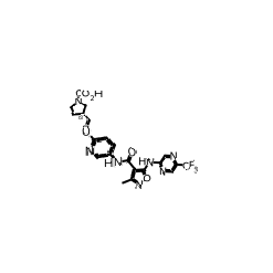 Cc1noc(Nc2cnc(C(F)(F)F)cn2)c1C(=O)Nc1ccc(OC[C@H]2CCN(C(=O)O)C2)nc1